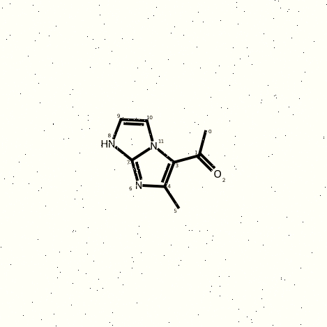 CC(=O)c1c(C)nc2[nH]ccn12